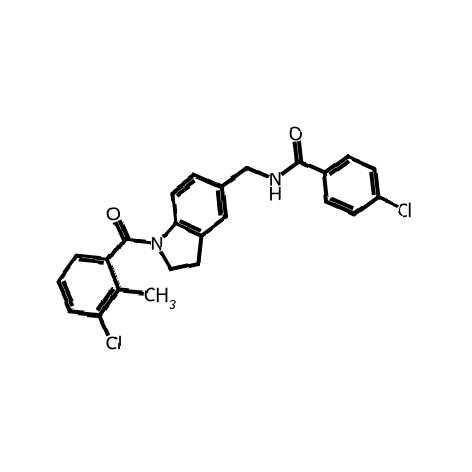 Cc1c(Cl)cccc1C(=O)N1CCc2cc(CNC(=O)c3ccc(Cl)cc3)ccc21